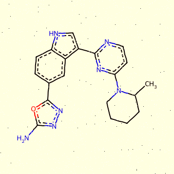 CC1CCCCN1c1ccnc(-c2c[nH]c3ccc(-c4nnc(N)o4)cc23)n1